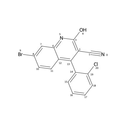 N#Cc1c(O)nc2cc(Br)ccc2c1-c1ccccc1Cl